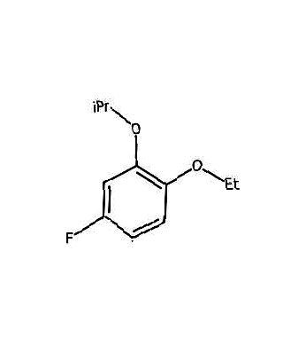 CCOc1c[c]c(F)cc1OC(C)C